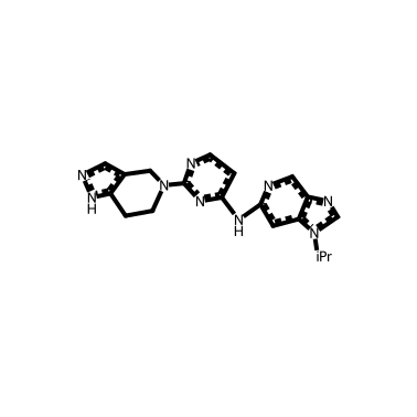 CC(C)n1cnc2cnc(Nc3ccnc(N4CCc5[nH]ncc5C4)n3)cc21